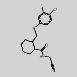 N#CCNC(=O)C1CCCCC1CSc1ccc(Cl)c(Cl)c1